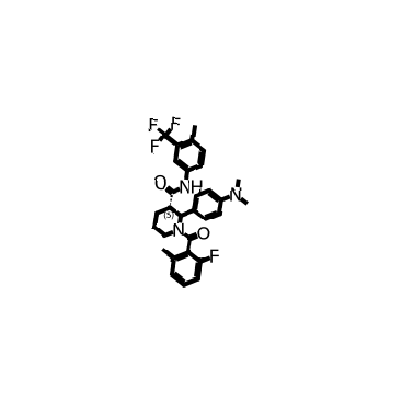 Cc1ccc(NC(=O)[C@H]2CCCN(C(=O)c3c(C)cccc3F)C2c2ccc(N(C)C)cc2)cc1C(F)(F)F